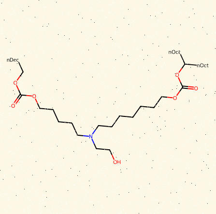 CCCCCCCCCCCOC(=O)OCCCCCN(CCO)CCCCCCCOC(=O)OC(CCCCCCCC)CCCCCCCC